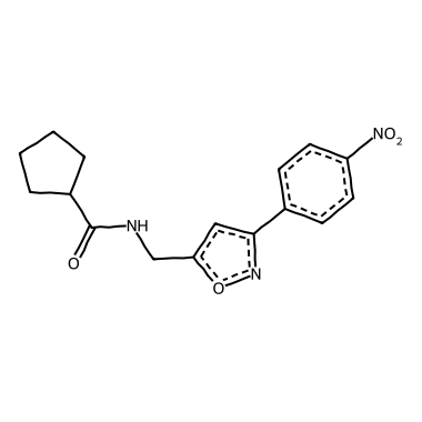 O=C(NCc1cc(-c2ccc([N+](=O)[O-])cc2)no1)C1CCCC1